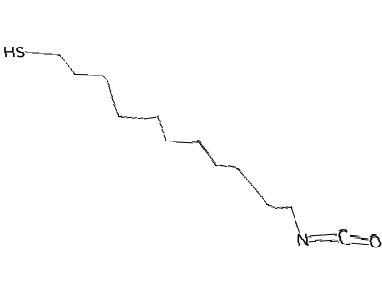 O=C=NCCCCCCCCCCCS